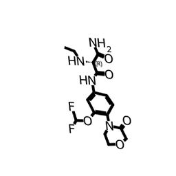 CCN[C@H](C(N)=O)C(=O)Nc1ccc(N2CCOCC2=O)c(OC(F)F)c1